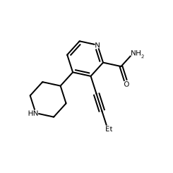 CCC#Cc1c(C2CCNCC2)ccnc1C(N)=O